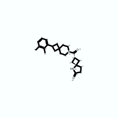 Cc1cccc(C2CC3(CCN(C(=O)[C@H]4C[C@]5(CCC(=O)N5)C4)CC3)C2)c1C